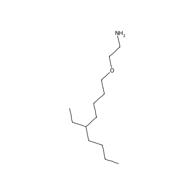 CCCCC(CC)CCCCOCCN